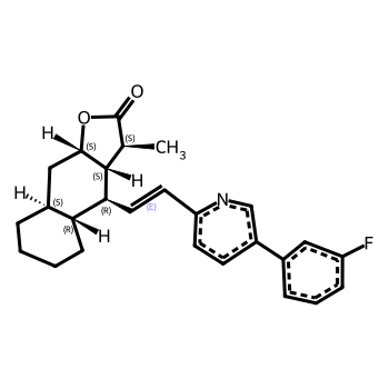 C[C@@H]1C(=O)O[C@H]2C[C@@H]3CCCC[C@H]3[C@H](/C=C/c3ccc(-c4cccc(F)c4)cn3)[C@H]21